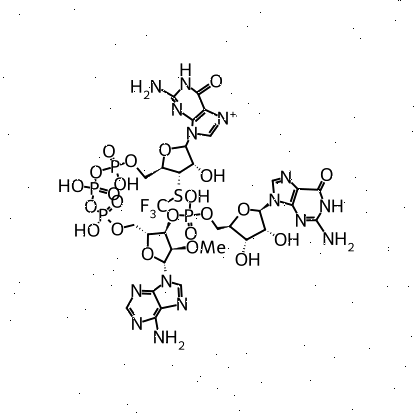 CO[C@@H]1[C@H](OP(=O)(O)OC[C@H]2O[C@@H](n3cnc4c(=O)[nH]c(N)nc43)[C@H](O)[C@@H]2O)[C@@H](COP(=O)(O)OP(=O)(O)OP(=O)(O)OC[C@H]2OC(n3c[n+](C)c4c(=O)[nH]c(N)nc43)[C@H](O)[C@@H]2SC(F)(F)F)O[C@H]1n1cnc2c(N)ncnc21